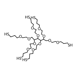 SCCCOCCOCC(OCCOCCCS)C(OCCOCCCS)C(OCCOCCCS)C(COCCOCCCS)OCCOCCCS